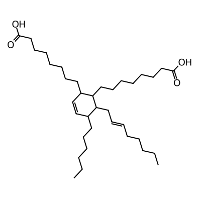 CCCCCC=CCC1C(CCCCCC)C=CC(CCCCCCCC(=O)O)C1CCCCCCCC(=O)O